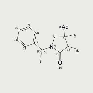 CC(=O)C1(C)CN([C@H](C)c2ccccc2)C(=O)C1C